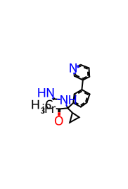 CC(=N)NC(C(=O)C(C)C)(c1cccc(-c2cccnc2)c1)C1CC1